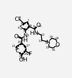 O=C(Nc1sc(Cl)cc1C(=O)NCCN1CCOCC1)c1ccc(O)c(F)c1